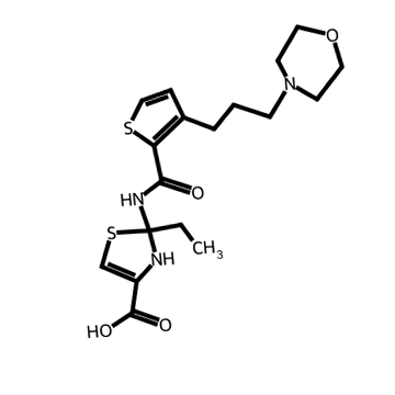 CCC1(NC(=O)c2sccc2CCCN2CCOCC2)NC(C(=O)O)=CS1